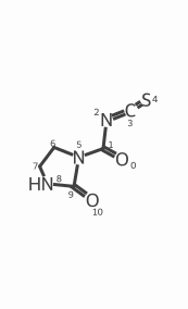 O=C(N=C=S)N1CCNC1=O